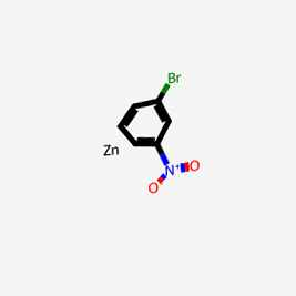 O=[N+]([O-])c1cccc(Br)c1.[Zn]